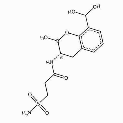 NS(=O)(=O)CCC(=O)N[C@H]1Cc2cccc(C(O)O)c2OB1O